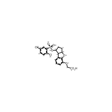 O=C(O)COc1cccc2c1OC1CCC(OS(=O)(=O)c3cc(Cl)ccc3Cl)C21